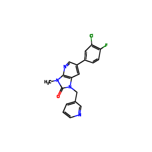 Cn1c(=O)n(Cc2cccnc2)c2cc(-c3ccc(F)c(Cl)c3)cnc21